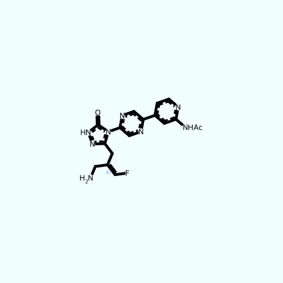 CC(=O)Nc1cc(-c2cnc(-n3c(C/C(=C\F)CN)n[nH]c3=O)cn2)ccn1